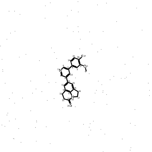 COc1cc(-c2cncc(-c3cc4c5c(c3)CCN5C(=S)CC4)c2)ccc1F